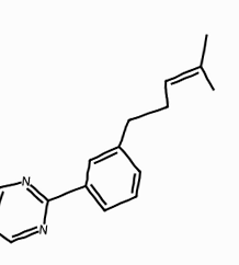 CC(C)=CCCc1cccc(-c2ncccn2)c1